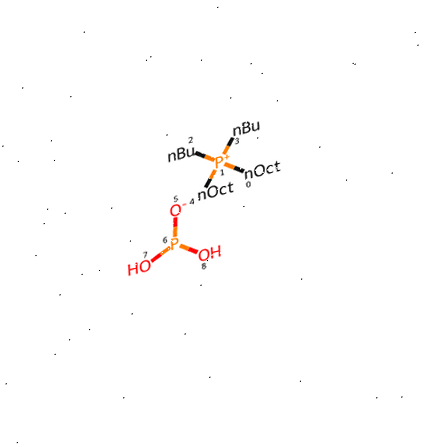 CCCCCCCC[P+](CCCC)(CCCC)CCCCCCCC.[O-]P(O)O